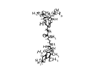 Cc1c(C)c(S(=O)(=O)NC(=N)NCCC[C@H](N)C(=O)NCC(=O)N[C@@H](CC(=O)OC(C)(C)C)C(=O)N[C@@H](COC(C)(C)C)C(=O)O)c(C)c2c1OC(C)(C)C2